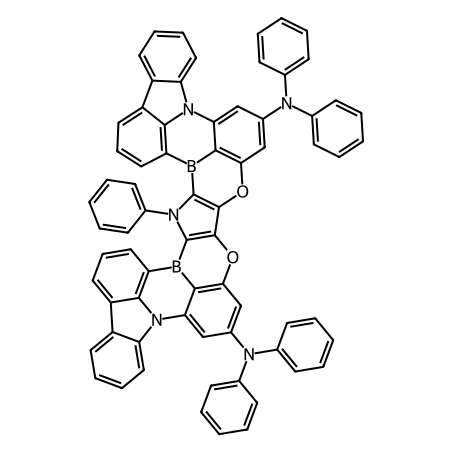 c1ccc(N(c2ccccc2)c2cc3c4c(c2)-n2c5ccccc5c5cccc(c52)B4c2c(c4c(n2-c2ccccc2)B2c5c(cc(N(c6ccccc6)c6ccccc6)cc5-n5c6ccccc6c6cccc2c65)O4)O3)cc1